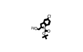 CC(C)(C)OC(=O)N1c2ccc(Cl)cc2CC1CO